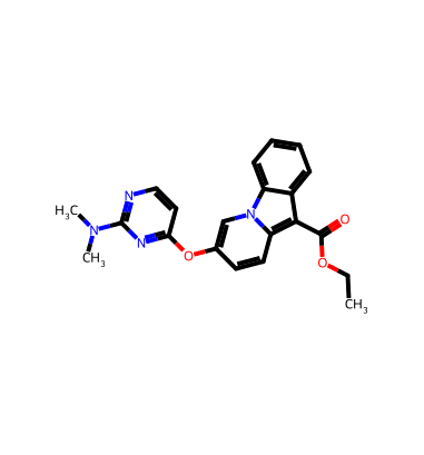 CCOC(=O)c1c2ccccc2n2cc(Oc3ccnc(N(C)C)n3)ccc12